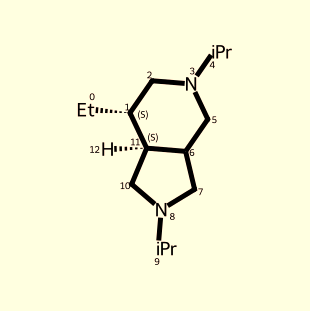 CC[C@@H]1CN(C(C)C)CC2CN(C(C)C)C[C@H]21